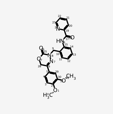 COc1ccc(C2=NN(Cc3ccccc3NC(=O)c3ccccn3)C(=O)OC2)cc1OC